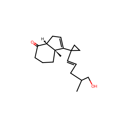 CC(CO)CC=CC1(C2=CC[C@H]3C(=O)CCC[C@@]23C)CC1